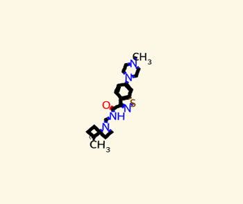 C[C@H]1CCC12CCN2CNC(=O)c1nsc2cc(N3CCN(C)CC3)ccc12